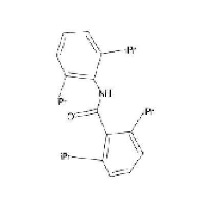 CC(C)c1cccc(C(C)C)c1NC(=O)c1c(C(C)C)cccc1C(C)C